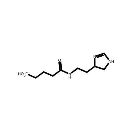 O=C(O)CCCC(=O)NCCC1CNC=N1